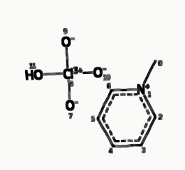 C[n+]1ccccc1.[O-][Cl+3]([O-])([O-])O